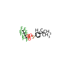 CC(C)(C)c1ccc(SOS(=O)(=O)C(F)(F)C(F)(F)C(F)(F)C(F)(F)F)cc1